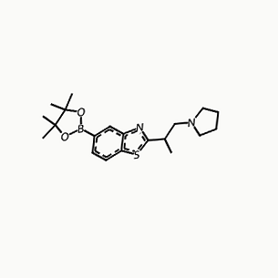 CC(CN1CCCC1)c1nc2cc(B3OC(C)(C)C(C)(C)O3)ccc2s1